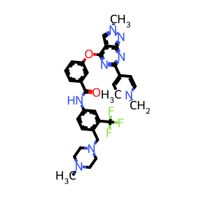 C=N/C=C\C(=C/C)c1nc(Oc2cccc(C(=O)Nc3ccc(CN4CCN(C)CC4)c(C(F)(F)F)c3)c2)c2cn(C)nc2n1